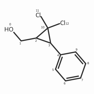 OCC1C(c2ccccc2)C1(Cl)Cl